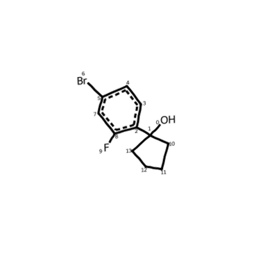 OC1(c2ccc(Br)cc2F)CCCC1